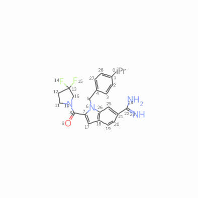 CC(C)c1ccc(Cn2c(C(=O)N3CCC(F)(F)C3)cc3ccc(C(=N)N)cc32)cc1